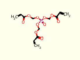 C=CC(=O)OCOP(=O)(OCOC(=O)C=C)OCOC(=O)C=C